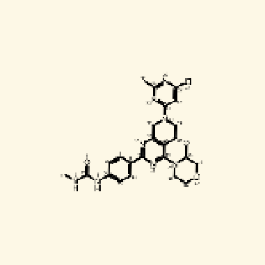 CNC(=O)Nc1ccc(-c2nc3c(c(N4CCOCC4C)n2)CCN(c2cc(Cl)nc(C)n2)C3)cc1